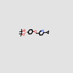 CC1(C)OB(c2ccc(OCc3ccc(C4CC4)nc3)cc2)OC1(C)C